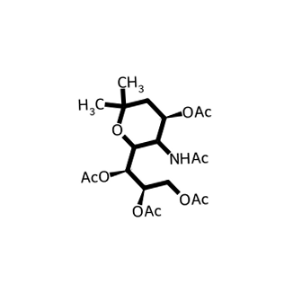 CC(=O)NC1C([C@H](OC(C)=O)[C@@H](COC(C)=O)OC(C)=O)OC(C)(C)C[C@H]1OC(C)=O